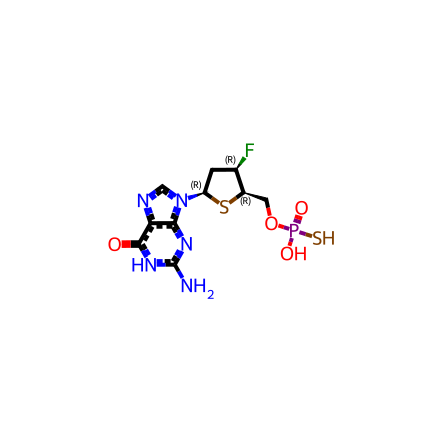 Nc1nc2c(ncn2[C@H]2C[C@@H](F)[C@@H](COP(=O)(O)S)S2)c(=O)[nH]1